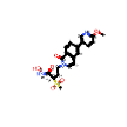 COc1ccc(-c2ccc3c(=O)n(CC[C@](C)(C(=O)NO)S(C)(=O)=O)ccc3c2)cn1